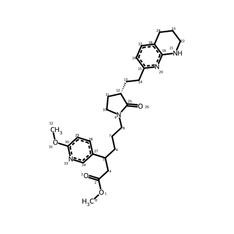 COC(=O)CC(CCCN1CC[C@H](CCc2ccc3c(n2)NCCC3)C1=O)c1ccc(OC)nc1